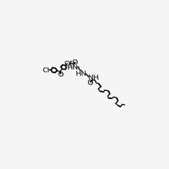 CC/C=C\C/C=C\C/C=C\C/C=C\C/C=C\C/C=C\CCC(=O)NCCNCCCNC(=O)C(C)(C)Oc1ccc(C(=O)c2ccc(Cl)cc2)cc1